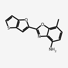 Cc1ccc(N)c2nc(-c3cc4sccc4o3)oc12